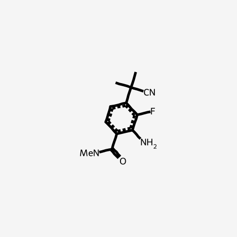 CNC(=O)c1ccc(C(C)(C)C#N)c(F)c1N